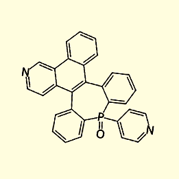 O=P1(c2ccncc2)c2ccccc2-c2c(c3ccncc3c3ccccc23)-c2ccccc21